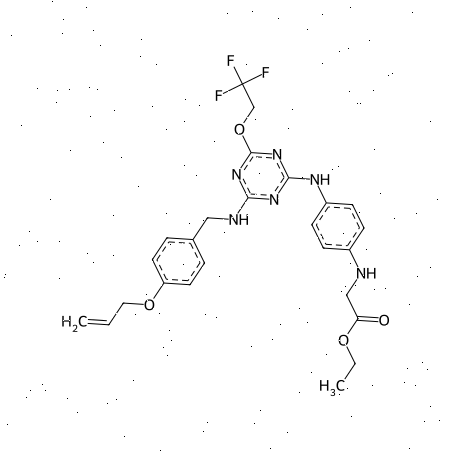 C=CCOc1ccc(CNc2nc(Nc3ccc(NCC(=O)OCC)cc3)nc(OCC(F)(F)F)n2)cc1